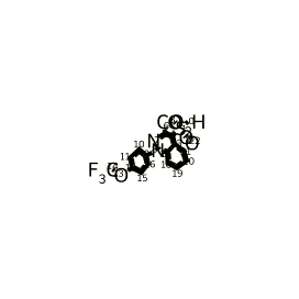 CS(=O)(=O)c1c(C(=O)O)nn(-c2ccc(OC(F)(F)F)cc2)c2cccc(=O)c1-2